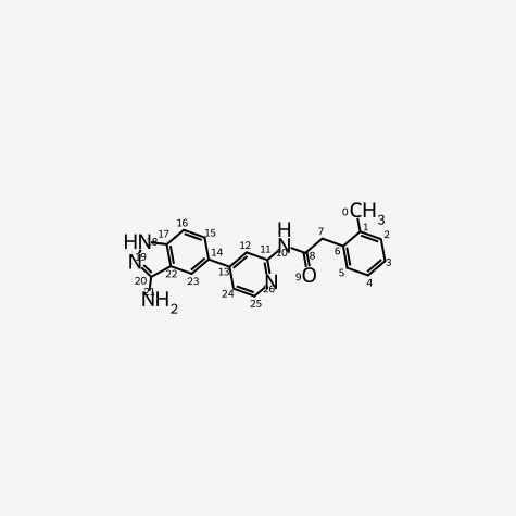 Cc1ccccc1CC(=O)Nc1cc(-c2ccc3[nH]nc(N)c3c2)ccn1